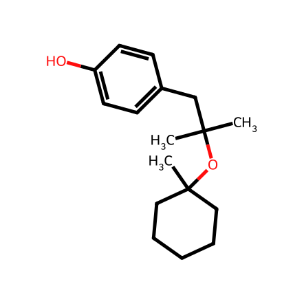 CC(C)(Cc1ccc(O)cc1)OC1(C)CCCCC1